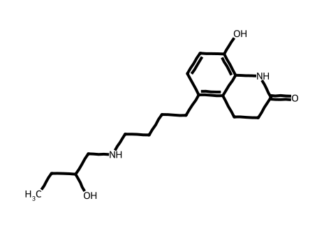 CCC(O)CNCCCCc1ccc(O)c2c1CCC(=O)N2